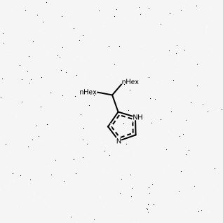 CCCCCCC(CCCCCC)c1cnc[nH]1